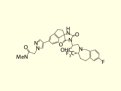 CNC(=O)Cn1cc(-c2ccc3c(c2)CCC32NC(=O)N(C(C=O)CN3Cc4ccc(F)cc4CC[C@H]3C(F)(F)F)C2=O)cn1